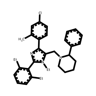 CCc1cccc(CC)c1-c1nc(-c2ccc(Cl)cc2C)c(CN2CCCCC2c2ccccc2)n1CC